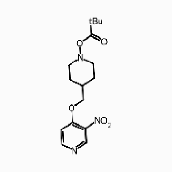 CC(C)(C)C(=O)ON1CCC(COc2ccncc2[N+](=O)[O-])CC1